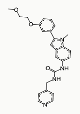 COCCOc1cccc(-c2cc3cc(NC(=O)NCc4ccncc4)ccc3n2C)c1